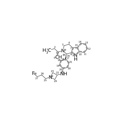 C=C(CC)N1CCc2c([nH]c3ccccc23)[C@H]1c1ccc(NC2CN(CCCF)C2)cc1